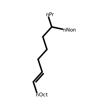 [CH2]CCCCCCCC=CCCCC(CCC)CCCCCCCC[CH2]